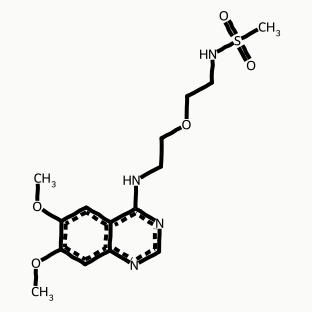 COc1cc2ncnc(NCCOCCNS(C)(=O)=O)c2cc1OC